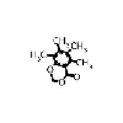 Cc1c(C)c(C)c2c(c1C)OCOC2=O